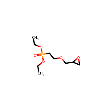 CCOP(=O)(CCOCC1CO1)OCC